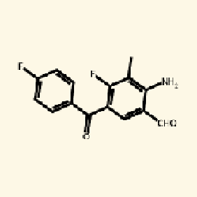 Cc1c(N)c(C=O)cc(C(=O)c2ccc(F)cc2)c1F